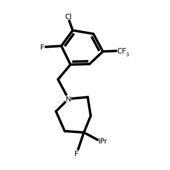 CC(C)C1(F)CCN(Cc2cc(C(F)(F)F)cc(Cl)c2F)CC1